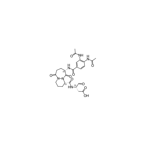 CC(=O)Nc1ccc(C(=O)N[C@H]2CCC(=O)N3CCC[C@@H](C(=O)N[C@H](C=O)CC(=O)O)N3C2=O)cc1NC(C)=O